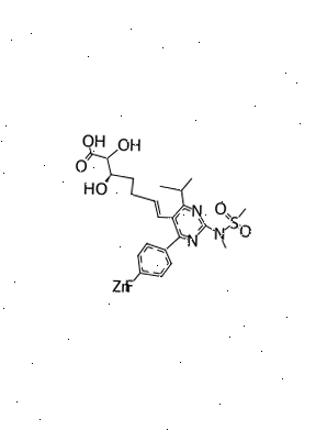 CC(C)c1nc(N(C)S(C)(=O)=O)nc(-c2ccc(F)cc2)c1C=CCC[C@@H](O)C(O)C(=O)O.[Zn]